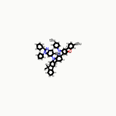 CC(C)(C)c1ccc(Nc2cc3c(cc2-c2ccc4c5cc6c(cc5n5c4c2Bc2cc4nc(-c7ccccc7)n(-c7ccccc7)c4cc2-5)C(C)(C)c2ccccc2-6)oc2cc(C(C)(C)C)ccc23)cc1